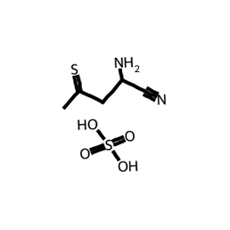 CC(=S)CC(N)C#N.O=S(=O)(O)O